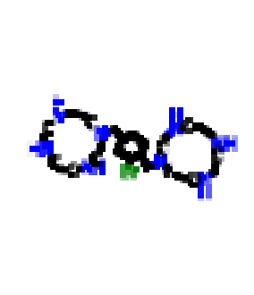 Brc1cc(CN2CCCNCCNCCCNCC2)ccc1CN1CCCNCCNCCCNCC1